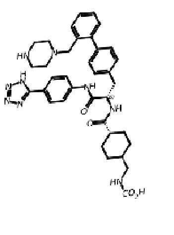 O=C(O)NC[C@H]1CC[C@H](C(=O)N[C@@H](Cc2ccc(-c3ccccc3CN3CCNCC3)cc2)C(=O)Nc2ccc(-c3nnn[nH]3)cc2)CC1